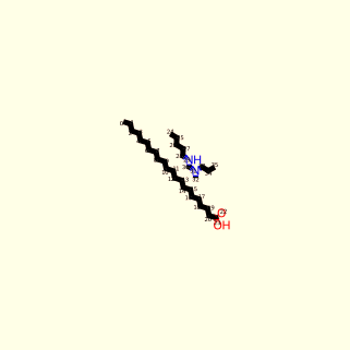 CCCCCCCCCCCCCCCCCCCCCC(=O)O.CCCCCNCN(C)CCC